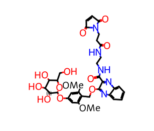 COc1cc(OC2OC(CO)C(O)C(O)[C@H]2O)cc(OC)c1COc1nc2ccccc2nc1C(=O)NCCNC(=O)CCN1C(=O)C=CC1=O